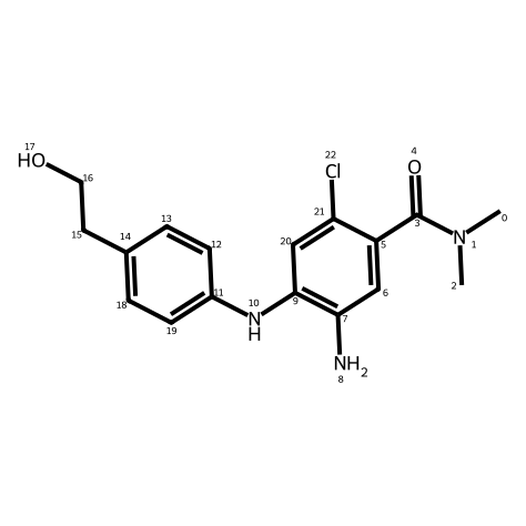 CN(C)C(=O)c1cc(N)c(Nc2ccc(CCO)cc2)cc1Cl